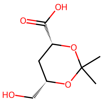 CC1(C)O[C@H](CO)C[C@H](C(=O)O)O1